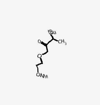 COCCOCC(=O)C(C)C(C)(C)C